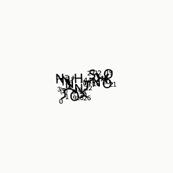 CC[C@H](C)C(N=[N+]=[N-])C(=O)NC(C[C@@H](C)c1nc(C(=O)OC)cs1)C(C)C